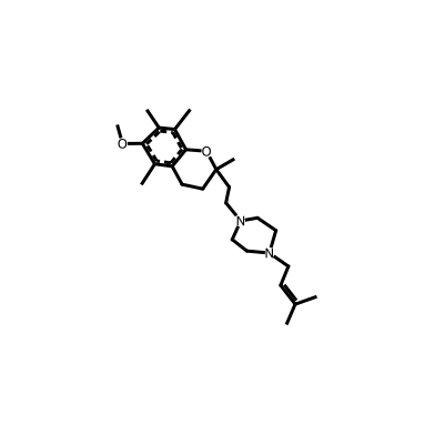 COc1c(C)c(C)c2c(c1C)CCC(C)(CCN1CCN(CC=C(C)C)CC1)O2